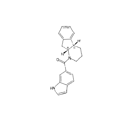 O=C(c1ccc2cc[nH]c2c1)N1CCC[C@H]2c3ccccc3C[C@H]21